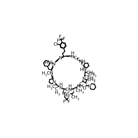 CC(C)C[C@@H]1NC[C@@H](COCC(F)(F)F)NC(C)[C@H](C)N2CCCC2=CN(C)C(CC2CCCCC2)=CN(C)C=CN=C(CCc2ccc(C(F)(F)F)c(Cl)c2)C=CNCCNCC2(CCCC2)NC(C)[C@H](C(C)C)N2C(C)[C@H](C(=O)N3CCCCC3)C2CNC1C